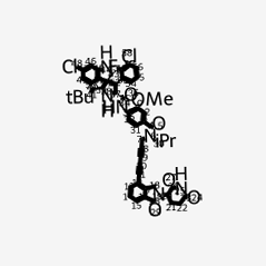 COc1cc(C(=O)N(CC#CC#Cc2cccc3c2CN(C2CCC(=O)NC2=O)C3=O)C(C)C)ccc1NC(=O)[C@@H]1N[C@@H](CC(C)(C)C)[C@@]2(CNc3cc(Cl)ccc32)[C@H]1c1cccc(Cl)c1F